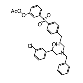 CC(=O)OOc1cccc(S(=O)(=O)c2ccc(CCCN(Cc3ccccc3)C[C@H](O)c3cccc(Cl)c3)cc2)c1